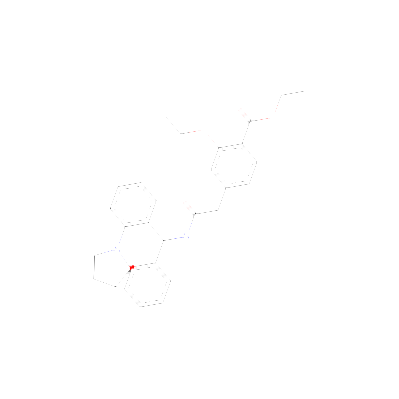 CCOC(=O)c1ccc(CC(=O)NC(c2ccccc2)c2ccccc2N2CCCC2)cc1OCC